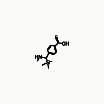 CNC(c1ccc(C(O)=S)cc1)[Si](C)(C)C